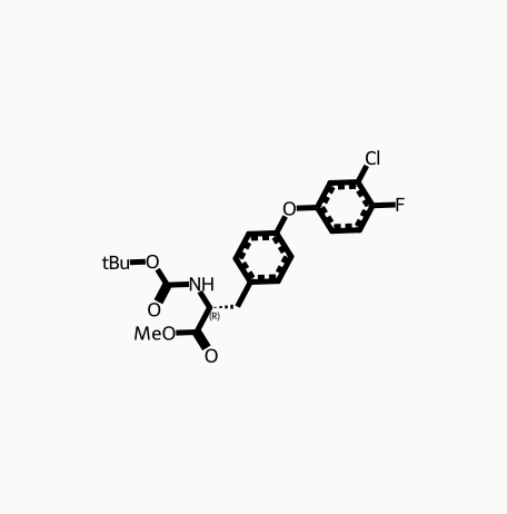 COC(=O)[C@@H](Cc1ccc(Oc2ccc(F)c(Cl)c2)cc1)NC(=O)OC(C)(C)C